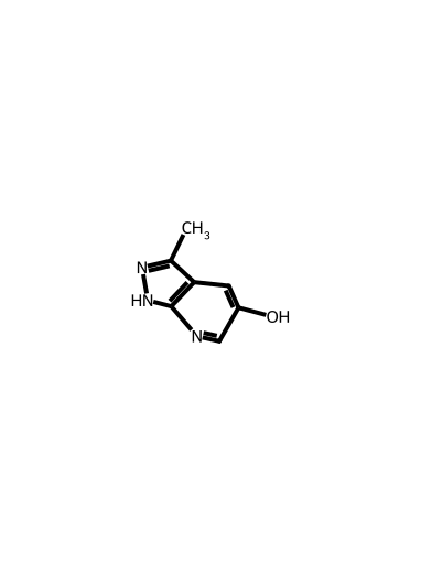 Cc1n[nH]c2ncc(O)cc12